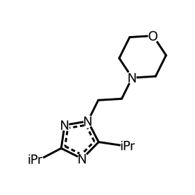 CC(C)c1nc(C(C)C)n(CCN2CCOCC2)n1